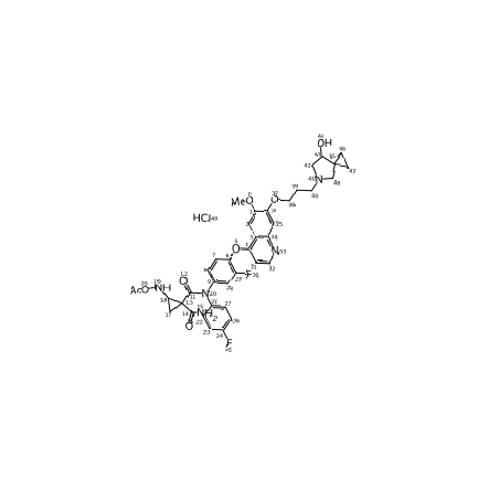 COc1cc2c(Oc3ccc(N(C(=O)C4(C(N)=O)CC4NOC(C)=O)c4ccc(F)cc4)cc3F)ccnc2cc1OCCCN1CC(O)C2(CC2)C1.Cl